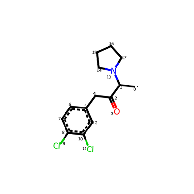 [CH2]C(C(=O)Cc1ccc(Cl)c(Cl)c1)N1CCCC1